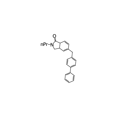 CCCN1CC2C=C(Cc3ccc(-c4ccccc4)cc3)C=CC2C1=O